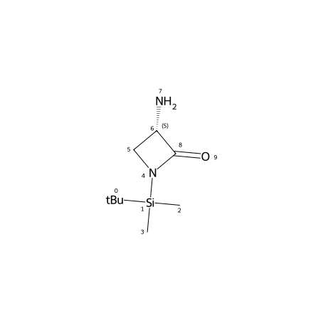 CC(C)(C)[Si](C)(C)N1C[C@H](N)C1=O